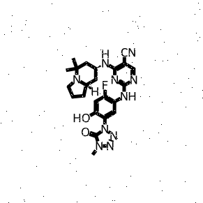 Cn1nnn(-c2cc(Nc3ncc(C#N)c(N[C@@H]4C[C@@H]5CCCN5C(C)(C)C4)n3)c(F)cc2O)c1=O